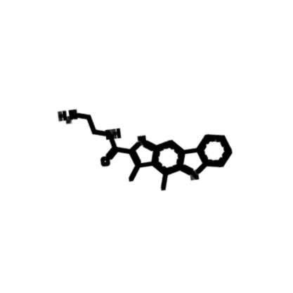 CC1=C(C(=O)NCCN)N=c2cc3c(c(C)c21)=Nc1ccccc1-3